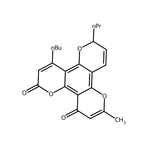 CCCCc1[c]c(=O)oc2c1c1c(c3oc(C)cc(=O)c32)C=CC(CCC)O1